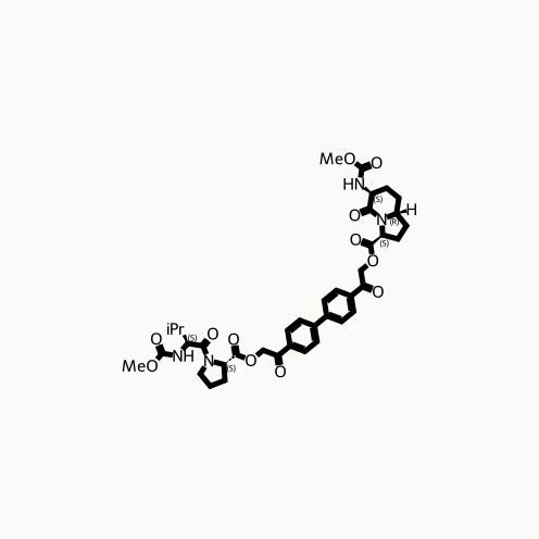 COC(=O)N[C@H]1CC[C@@H]2CC[C@@H](C(=O)OCC(=O)c3ccc(-c4ccc(C(=O)COC(=O)[C@@H]5CCCN5C(=O)[C@@H](NC(=O)OC)C(C)C)cc4)cc3)N2C1=O